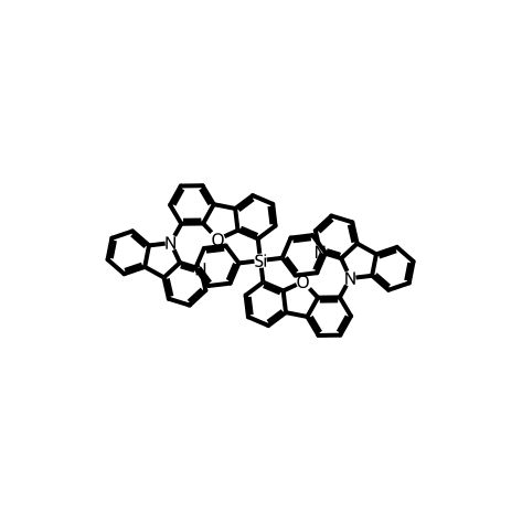 c1ccc([Si](c2ccccc2)(c2cccc3c2oc2c(-n4c5ccccc5c5cccnc54)cccc23)c2cccc3c2oc2c(-n4c5ccccc5c5cccnc54)cccc23)cc1